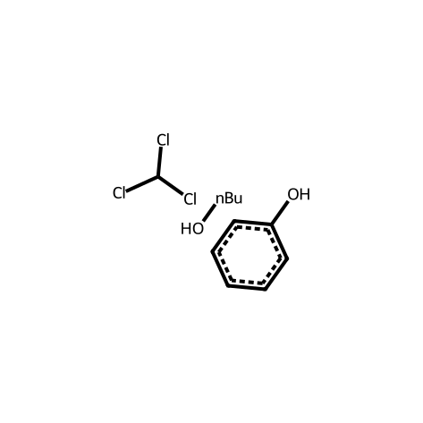 CCCCO.ClC(Cl)Cl.Oc1ccccc1